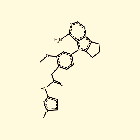 COc1cc(-n2c3c(c4ncnc(N)c42)CCC3)ccc1CC(=O)Nc1ccn(C)n1